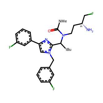 CNC(=O)N(CC[C@@H](N)CF)C(c1nc(-c2cccc(F)c2)cn1Cc1cccc(F)c1)C(C)(C)C